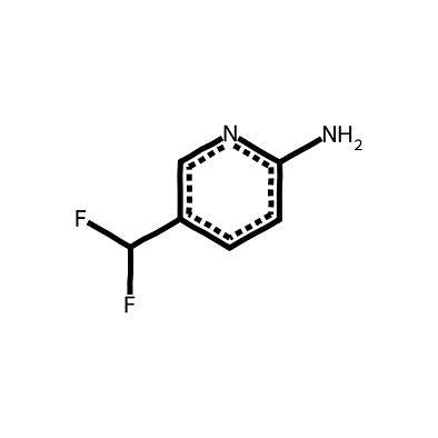 Nc1ccc(C(F)F)cn1